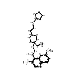 COc1ccc2ncc(C)c([C@H](F)CCC3(CO)CCN(CCSC4CCCC4)CC3)c2c1